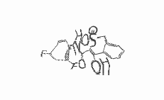 O=C(Nc1ccc(F)cc1F)C1=C(O)c2ccccc2CS1(=O)=O